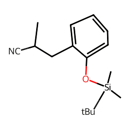 CC(C#N)Cc1ccccc1O[Si](C)(C)C(C)(C)C